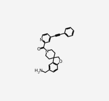 NCc1ccc2c(c1)C1(CCN(C(=O)c3cc(C#Cc4ccccc4)ccn3)CC1)CO2